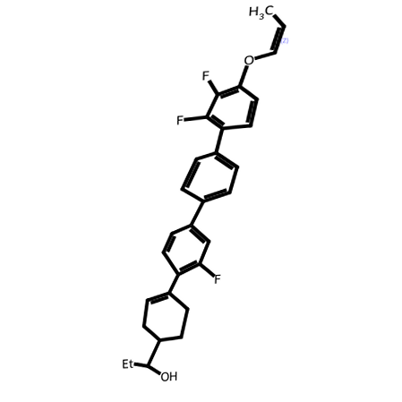 C/C=C\Oc1ccc(-c2ccc(-c3ccc(C4=CCC(C(O)CC)CC4)c(F)c3)cc2)c(F)c1F